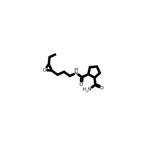 CCC1OC1CCCNC(=O)C1CCCC1C(N)=O